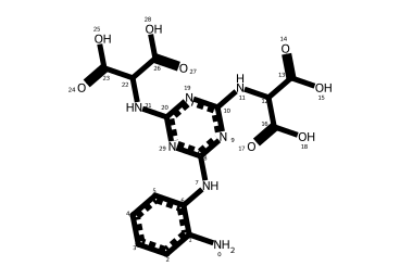 Nc1ccccc1Nc1nc(NC(C(=O)O)C(=O)O)nc(NC(C(=O)O)C(=O)O)n1